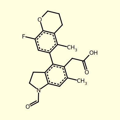 Cc1cc2c(c(-c3cc(F)c4c(c3C)CCCO4)c1CC(=O)O)CCN2C=O